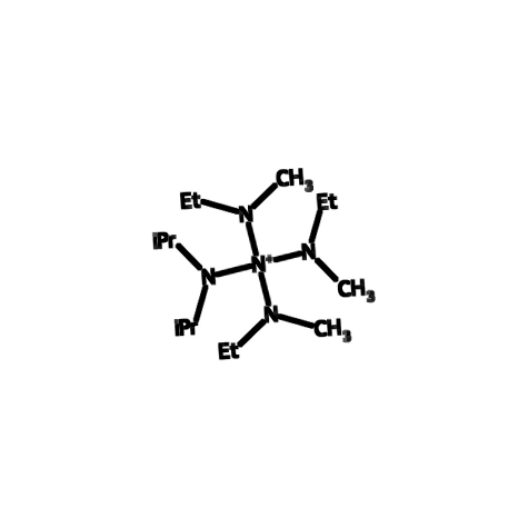 CCN(C)[N+](N(C)CC)(N(C)CC)N(C(C)C)C(C)C